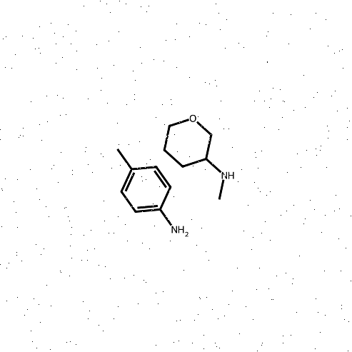 CNC1CCCOC1.Cc1ccc(N)cc1